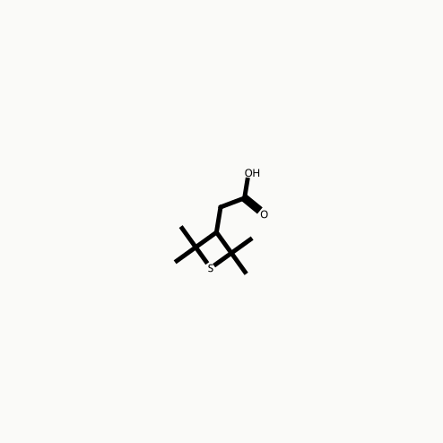 CC1(C)SC(C)(C)C1CC(=O)O